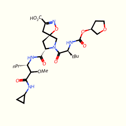 CCC[C@H](NC(=O)[C@@H]1C[C@]2(CC(C(=O)O)=NO2)CN1C(=O)[C@@H](NC(=O)O[C@H]1CCOC1)C(C)(C)C)C(OC)C(=O)NC1CC1